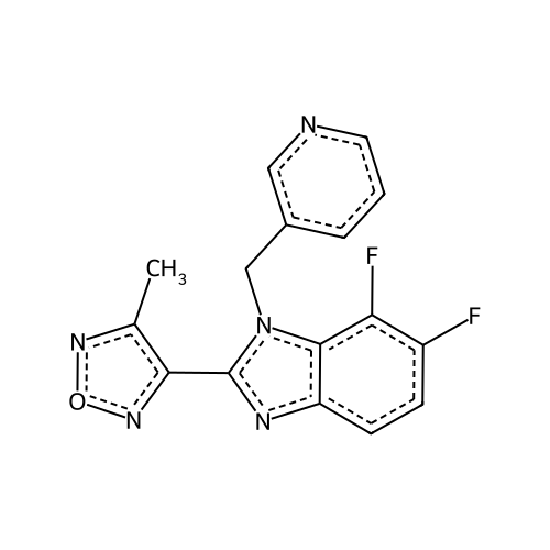 Cc1nonc1-c1nc2ccc(F)c(F)c2n1Cc1cccnc1